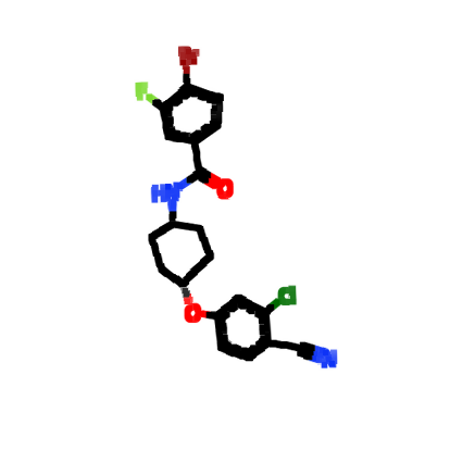 N#Cc1ccc(O[C@H]2CC[C@H](NC(=O)c3ccc(Br)c(F)c3)CC2)cc1Cl